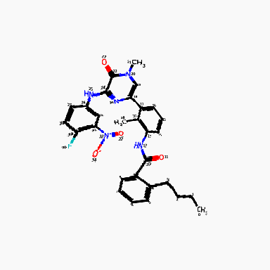 CCCCc1ccccc1C(=O)Nc1cccc(-c2cn(C)c(=O)c(Nc3ccc(F)c([N+](=O)[O-])c3)n2)c1C